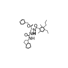 C=C(OCc1ccccc1)[C@H](CNC(=O)NC1CCc2ccccc21)NC(=O)c1c(C)cc(CC)c(CCC)c1C